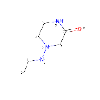 CC[N]N1CCNC(=O)C1